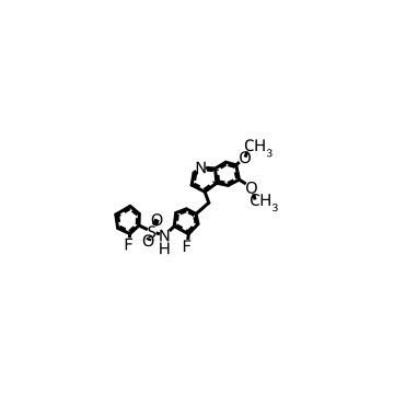 COc1cc2nccc(Cc3ccc(NS(=O)(=O)c4ccccc4F)c(F)c3)c2cc1OC